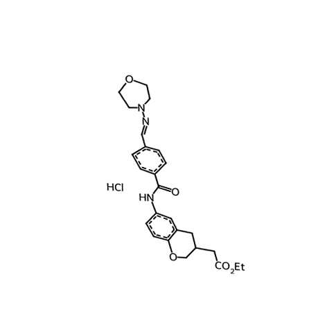 CCOC(=O)CC1COc2ccc(NC(=O)c3ccc(/C=N/N4CCOCC4)cc3)cc2C1.Cl